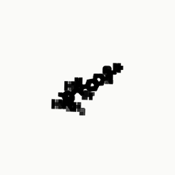 Cc1cc(-c2[nH]nc(-c3ccc4c(c3)CCC(N(C)C(=O)CN(C)C)C4)c2C(C)C)cn(N)c1=N